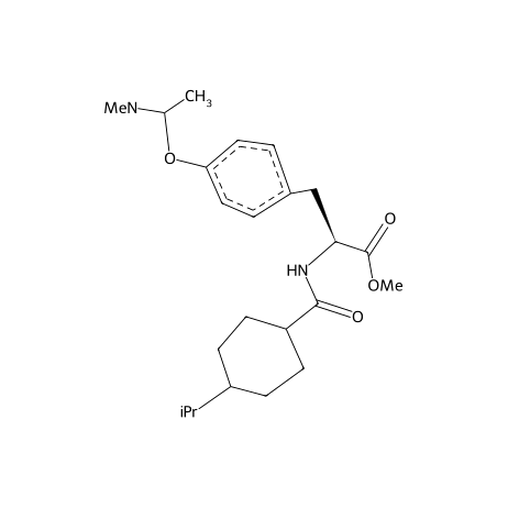 CNC(C)Oc1ccc(C[C@H](NC(=O)C2CCC(C(C)C)CC2)C(=O)OC)cc1